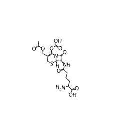 CC(=O)OCC1=C(OC(=O)O)N2C(=O)[C@@H](NC(=O)CCCC(N)C(=O)O)[C@@H]2SC1